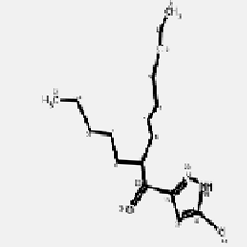 CCCCCCCC(CCCCC)C(=O)c1cc(Cl)[nH]n1